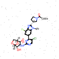 COC(=O)N1CC[C@@H](c2nc3c(F)cc(-c4nc(N[C@H]5[C@H](O)[C@@H]6OC[C@@H](O6)[C@H]5O)ncc4Cl)cc3n2C(C)C)C1